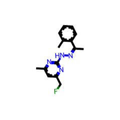 C/C(=N/Nc1nc(C)cc(CF)n1)c1ccccc1C